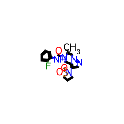 C[C@H]1Cn2ncc(N3CCCS3(=O)=O)c2CN1C(=O)Nc1ccccc1F